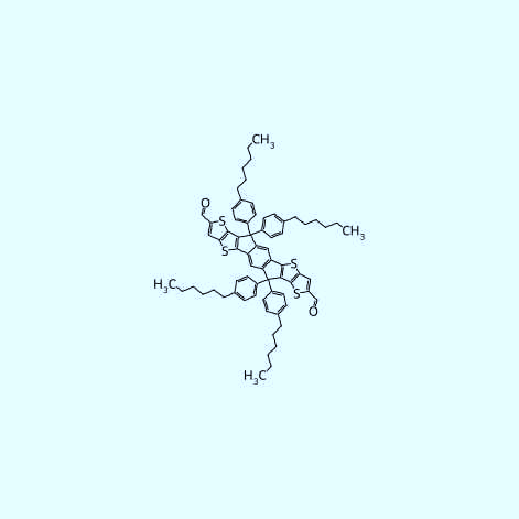 CCCCCCc1ccc(C2(c3ccc(CCCCCC)cc3)c3cc4c(cc3-c3sc5cc(C=O)sc5c32)C(c2ccc(CCCCCC)cc2)(c2ccc(CCCCCC)cc2)c2c-4sc3cc(C=O)sc23)cc1